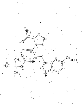 COc1ccc2[nH]cc(CC(NC(=O)OC(C)(C)C)C(=O)N3CSCC3C(N)=O)c2c1